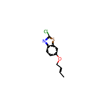 CC=CCOc1ccc2nc(Cl)sc2c1